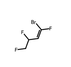 FCC(F)C=C(F)Br